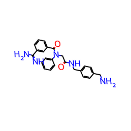 N=C(N)c1cccc(C(=O)N(CC(=O)NCc2ccc(CN)cc2)c2ccccc2)c1